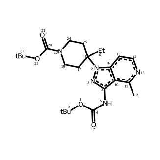 CCC1(n2nc(NC(=O)OC(C)(C)C)c3c(C)nccc32)CCN(C(=O)OC(C)(C)C)CC1